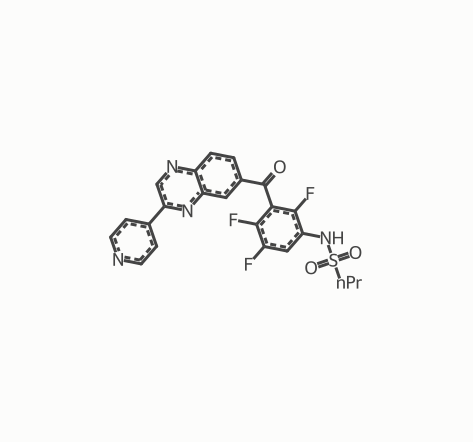 CCCS(=O)(=O)Nc1cc(F)c(F)c(C(=O)c2ccc3ncc(-c4ccncc4)nc3c2)c1F